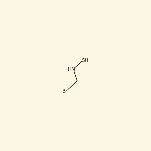 SNCBr